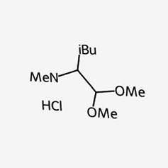 CCC(C)C(NC)C(OC)OC.Cl